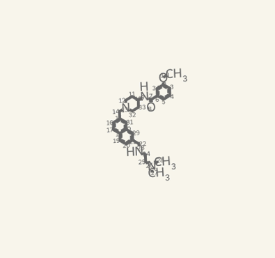 COc1cccc(C(=O)NC2CCN(Cc3ccc4ccc(CNCCN(C)C)cc4c3)CC2)c1